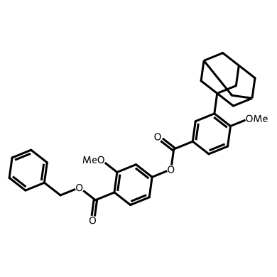 COc1cc(OC(=O)c2ccc(OC)c(C34CC5CC(CC(C5)C3)C4)c2)ccc1C(=O)OCc1ccccc1